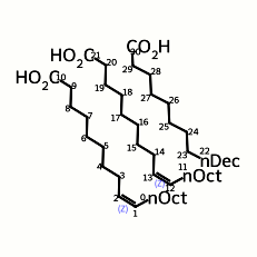 CCCCCCCC/C=C\CCCCCCCC(=O)O.CCCCCCCC/C=C\CCCCCCCC(=O)O.CCCCCCCCCCCCCCCCCC(=O)O